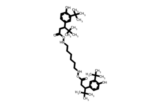 CC(C)(C)c1cc(C(CC(=O)ONCCCCCCNOC(=O)CC(c2ccc(O)c(C(C)(C)C)c2)C(C)(C)C)C(C)(C)C)ccc1O